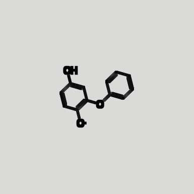 [O]c1ccc(O)cc1Oc1ccccc1